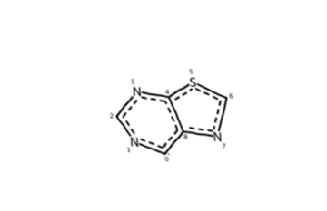 [c]1ncnc2scnc12